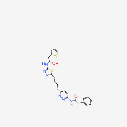 O=C(Cc1ccccc1)Nc1ccc(CCCCc2nnc(NC(O)Cc3cccs3)s2)nn1